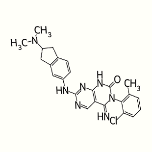 Cc1cccc(Cl)c1-n1c(=O)[nH]c2nc(Nc3ccc4c(c3)CC(N(C)C)C4)ncc2c1=N